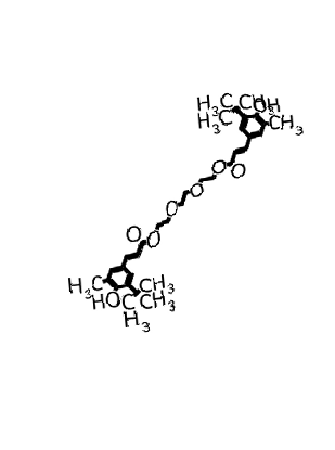 Cc1cc(C=CC(=O)OCCOCCOCCOC(=O)C=Cc2cc(C)c(O)c(C(C)(C)C)c2)cc(C(C)(C)C)c1O